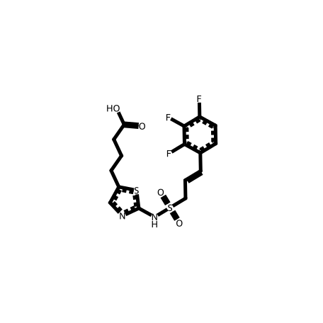 O=C(O)CCCc1cnc(NS(=O)(=O)CC=Cc2ccc(F)c(F)c2F)s1